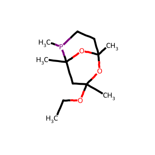 CCOC1(C)CC2(C)OC(C)(CCP2C)O1